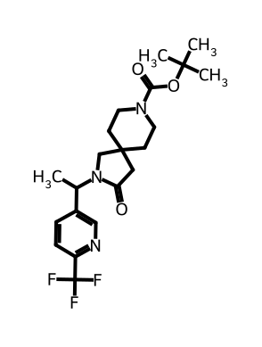 CC(c1ccc(C(F)(F)F)nc1)N1CC2(CCN(C(=O)OC(C)(C)C)CC2)CC1=O